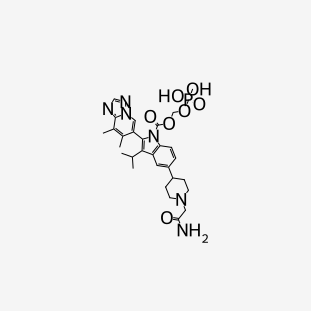 Cc1c(-c2c(C(C)C)c3cc(C4CCN(CC(N)=O)CC4)ccc3n2C(=O)OCOP(=O)(O)O)cn2ncnc2c1C